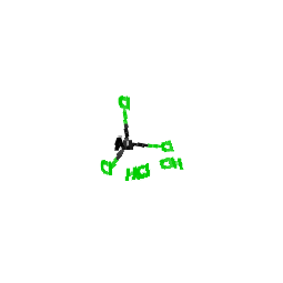 Cl.Cl.[Cl][Au]([Cl])[Cl]